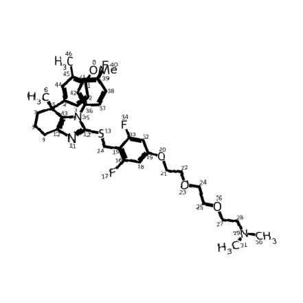 COc1ccc(C2(C)CCCc3nc(SCc4c(F)cc(OCCOCCOCCN(C)C)cc4F)n(-c4ccc(F)cc4)c32)cc1C